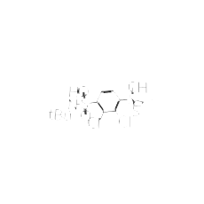 CC(C)(C)NS(=O)(=O)c1ccc(S2(C)CS2)c(Cl)c1Cl